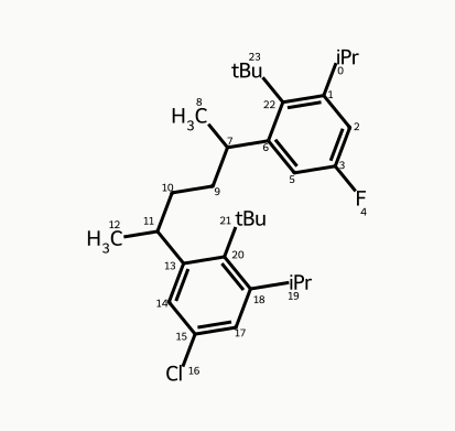 CC(C)c1cc(F)cc(C(C)CCC(C)c2cc(Cl)cc(C(C)C)c2C(C)(C)C)c1C(C)(C)C